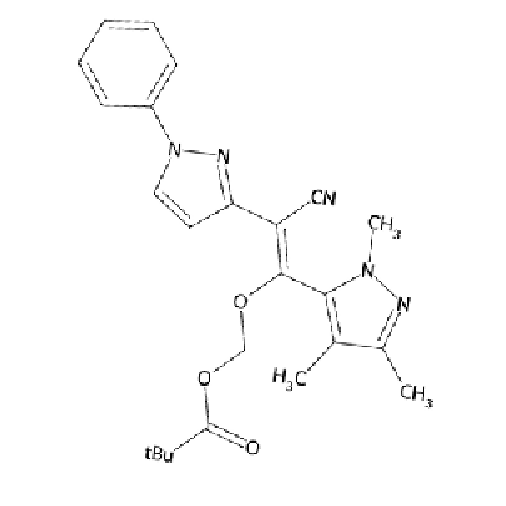 Cc1nn(C)c(/C(OCOC(=O)C(C)(C)C)=C(\C#N)c2ccn(-c3ccccc3)n2)c1C